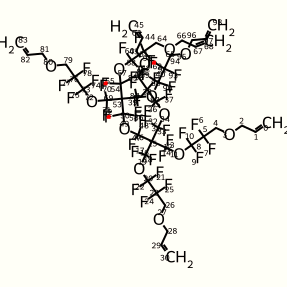 C=CCOCC(F)(F)C(F)(F)OC(F)(F)C(C(F)(F)OC(F)(F)C(F)(F)COCC=C)(C(F)(F)OC(F)(F)C(F)(F)COCC=C)C(F)(F)OC(F)(F)C(C(F)(F)OC(F)(F)C(F)(F)COCC=C)(C(F)(F)OC(F)(F)C(F)(F)COCC=C)C(F)(F)OC(F)(F)C(F)(F)COCC=C